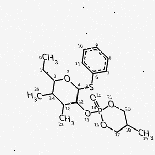 CCC1OC(Sc2ccccc2)C(OP2(=O)OCC(C)CO2)C(C)C1C